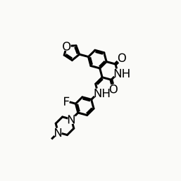 CN1CCN(c2ccc(N/C=C3\C(=O)NC(=O)c4ccc(-c5ccoc5)cc43)cc2F)CC1